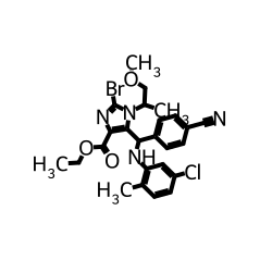 CCOC(=O)c1nc(Br)n(C(C)COC)c1C(Nc1cc(Cl)ccc1C)c1ccc(C#N)cc1